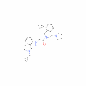 O=C(CNc1cccc2c1CN(CC1CC1)CC2)N(CCN1CCCC1)Cc1ccccc1C(F)(F)F